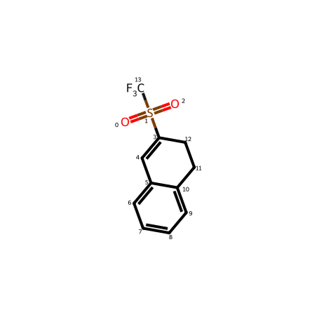 O=S(=O)(C1=Cc2ccccc2CC1)C(F)(F)F